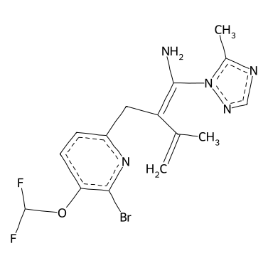 C=C(C)/C(Cc1ccc(OC(F)F)c(Br)n1)=C(/N)n1ncnc1C